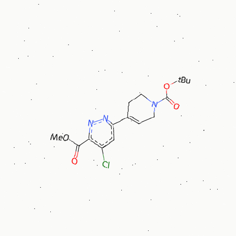 COC(=O)c1nnc(C2=CCN(C(=O)OC(C)(C)C)CC2)cc1Cl